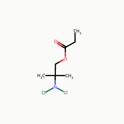 CCC(=O)OCC(C)(C)N(Cl)Cl